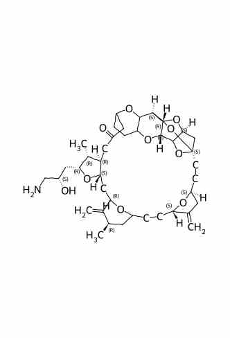 C=C1C[C@@H]2CC[C@@]34C[C@@H]5O[C@H]6[C@@H](O3)C3OC(CCC3O[C@H]6C5O4)CC(=O)C[C@@H]3[C@@H](C)[C@@H](C[C@H](O)CN)O[C@H]3C[C@H]3OC(CC[C@@H]1O2)C[C@@H](C)C3=C